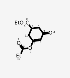 CCOC(=O)C1CC(=O)C=C(OC(=O)CC)C1